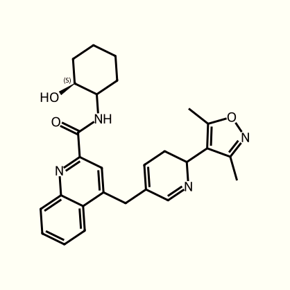 Cc1noc(C)c1C1CC=C(Cc2cc(C(=O)NC3CCCC[C@@H]3O)nc3ccccc23)C=N1